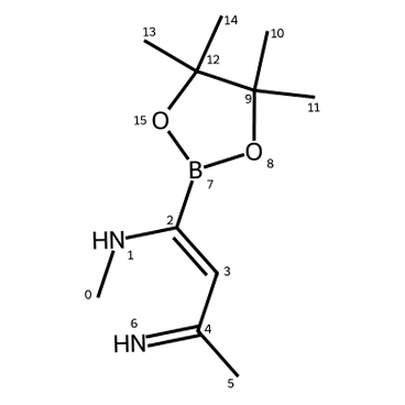 CN/C(=C\C(C)=N)B1OC(C)(C)C(C)(C)O1